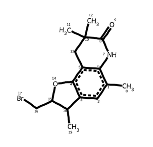 Cc1cc2c(c3c1NC(=O)C(C)(C)C3)OC(CBr)C2C